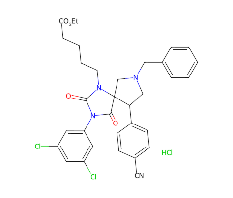 CCOC(=O)CCCCN1C(=O)N(c2cc(Cl)cc(Cl)c2)C(=O)C12CN(Cc1ccccc1)CC2c1ccc(C#N)cc1.Cl